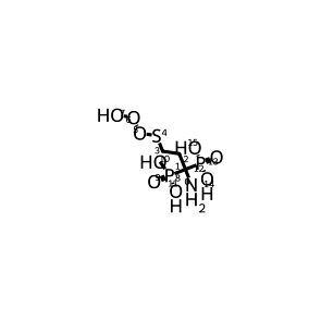 NC(CCSOOO)(P(=O)(O)O)P(=O)(O)O